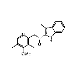 COc1c(C)cnc(C[S+]([O-])c2[nH]c3ccccc3c2C)c1C